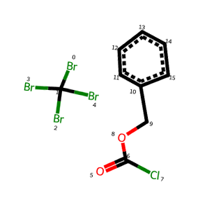 BrC(Br)(Br)Br.O=C(Cl)OCc1ccccc1